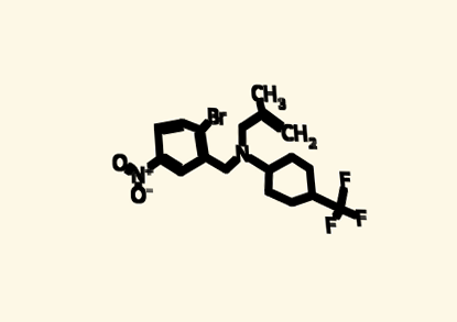 C=C(C)CN(Cc1cc([N+](=O)[O-])ccc1Br)C1CCC(C(F)(F)F)CC1